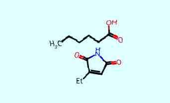 CCC1=CC(=O)NC1=O.CCCCCC(=O)O